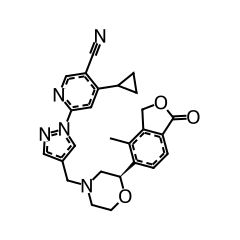 Cc1c([C@@H]2CN(Cc3cnn(-c4cc(C5CC5)c(C#N)cn4)c3)CCO2)ccc2c1COC2=O